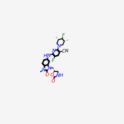 C[C@@H]1CN(c2nc(Nc3ccc4c(c3)n(C[C@@H]3CNC(=O)O3)c(=O)n4C)c(F)cc2C#N)C[C@H](C)C1F